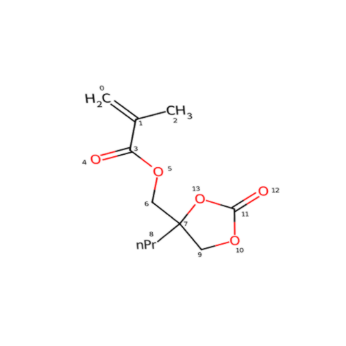 C=C(C)C(=O)OCC1(CCC)COC(=O)O1